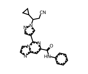 N#CCC(C1CC1)n1cc(-c2nc(C(=O)Nc3ccccc3)cc3nccn23)cn1